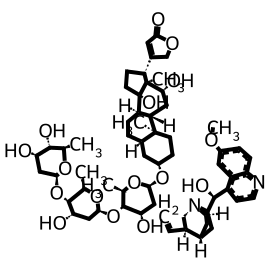 C=C[C@H]1C[N@]2CC[C@H]1C[C@@H]2[C@@H](O)c1ccnc2ccc(OC)cc12.C[C@H]1O[C@@H](O[C@H]2[C@@H](O)C[C@H](O[C@H]3[C@@H](O)C[C@H](O[C@H]4CC[C@@]5(C)[C@H](CC[C@@H]6[C@@H]5C[C@@H](O)[C@]5(C)[C@@H](C7=CC(=O)OC7)CC[C@]65O)C4)O[C@@H]3C)O[C@@H]2C)C[C@H](O)[C@@H]1O